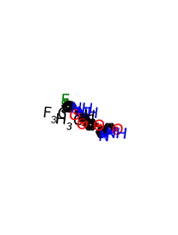 CC12Oc3ccc(Oc4ccnc5c4CCC(=O)N5)cc3[C@H]1[C@@H]2NC(=O)Nc1cc(F)cc(C(F)(F)F)c1